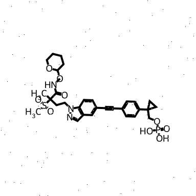 CC(CCn1ncc2cc(C#Cc3ccc(C4(COP(=O)(O)O)CC4)cc3)ccc21)(C(=O)NOC1CCCCO1)S(C)(=O)=O